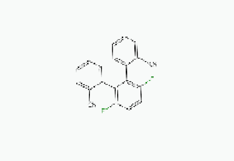 N#Cc1ccccc1-c1c(F)ccc(F)c1-c1ccccc1C#N